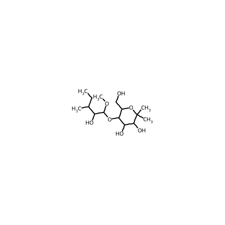 CCC(C)C(O)C(OC)OC1C(CO)OC(C)(C)C(O)C1O